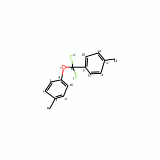 Cc1ccc(OC(F)(F)c2ccc(C)cc2)cc1